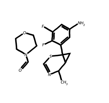 CC1N=CSC2(c3cc(N)cc(F)c3F)CC12.O=CN1CCOCC1